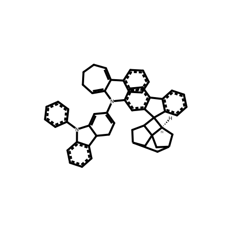 C1=C(c2ccccc2)C(N(C2=CCC3C(=C2)N(c2ccccc2)c2ccccc23)c2ccc3c(c2)C2(c4ccccc4-3)C3CC4CC5C[C@H]2C3(C4)C5)=CCCC1